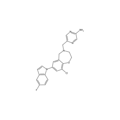 Nc1cnc(CN2CCOc3c(Cl)cc(-n4ccc5cc(F)ccc54)cc3C2)cn1